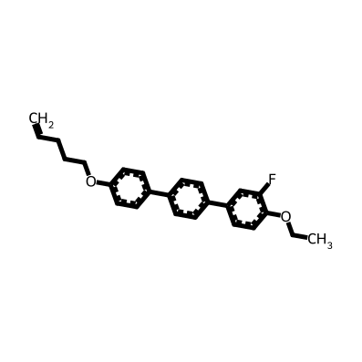 C=CCCCOc1ccc(-c2ccc(-c3ccc(OCC)c(F)c3)cc2)cc1